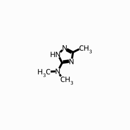 Cc1n[nH]c(N(C)C)n1